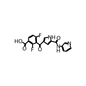 O=C(Nc1cccnc1)c1cc(C(=O)c2c(F)ccc(C(=O)O)c2F)c[nH]1